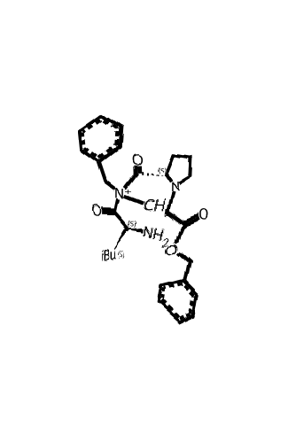 CC[C@H](C)[C@H](N)C(=O)[N+](C)(Cc1ccccc1)C(=O)[C@@H]1CCCN1CC(=O)OCc1ccccc1